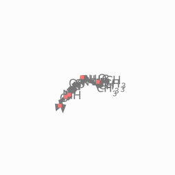 CC(C)(C)OC(=O)N1CC(CCCNc2cccc(OSNC(=O)c3ccc(-n4ccc(OCCC5C6(CC6)C56CC6)n4)cc3F)n2)CC1(C)C